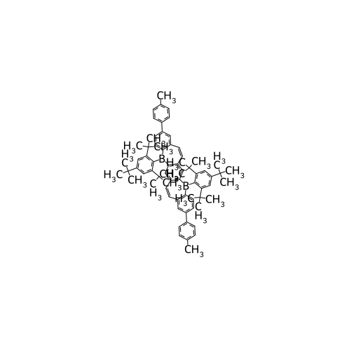 Cc1ccc(-c2ccc3c(c2)C=Cc2cc4c(cc2B3c2c(C(C)(C)C)cc(C(C)(C)C)cc2C(C)(C)C)C=Cc2cc(-c3ccc(C)cc3)ccc2B4c2c(C(C)(C)C)cc(C(C)(C)C)cc2C(C)(C)C)cc1